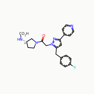 O=C(O)N[C@H]1CCN(C(=O)Cn2nc(-c3ccncc3)cc2Cc2ccc(F)cc2)C1